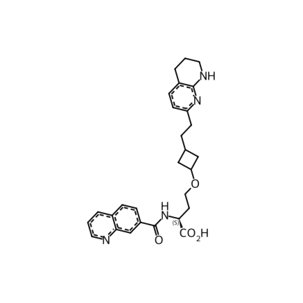 O=C(N[C@@H](CCOC1CC(CCc2ccc3c(n2)NCCC3)C1)C(=O)O)c1ccc2cccnc2c1